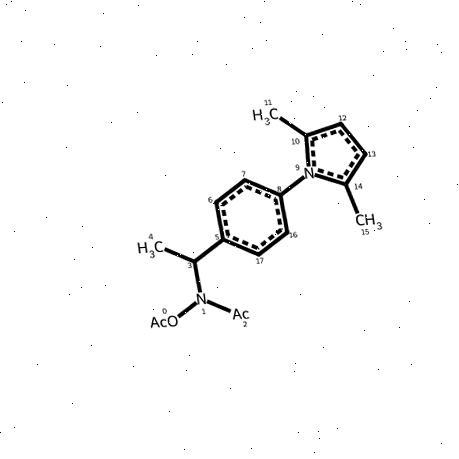 CC(=O)ON(C(C)=O)C(C)c1ccc(-n2c(C)ccc2C)cc1